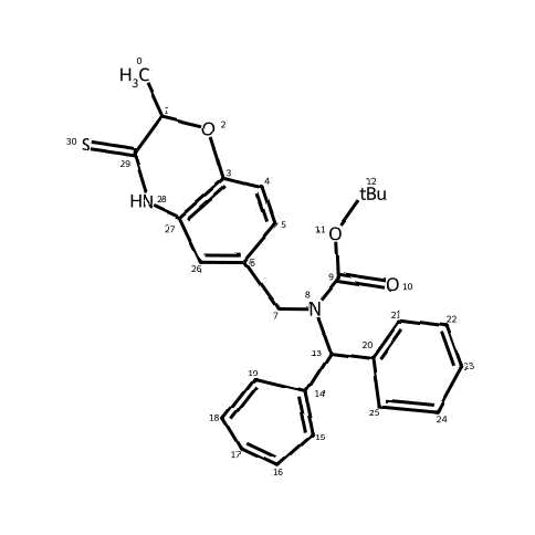 CC1Oc2ccc(CN(C(=O)OC(C)(C)C)C(c3ccccc3)c3ccccc3)cc2NC1=S